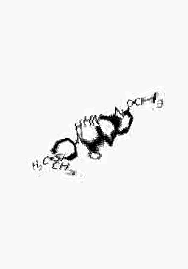 COc1ccc2cc(C(=O)N[C@H]3C#C[Si](C)(C)CCC3)[nH]c2n1